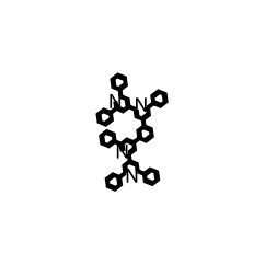 c1ccc(-c2cc(-c3cccc(-c4cc(-c5ccccc5)nc(-c5cc(-c6ccccc6)nc(-c6ccccc6)c5)c4)c3)cc(-c3cc(-c4ccccc4)nc(-c4ccccc4)c3)n2)cc1